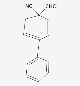 N#CC1(C=O)C=CC(c2ccccc2)=CC1